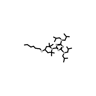 CCCCCCOC1CC(C)(C)N(c2nc(N(CC(C)C)CC(C)C)nc(N(CC(C)C)CC(C)C)n2)C(C)(C)C1